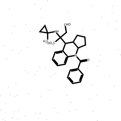 CC1(NC(CC=O)(C(=O)O)C2c3ccccc3N(C(=O)c3ccccc3)C3CCCC32)CC1